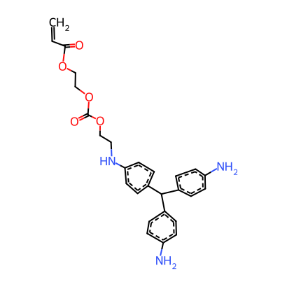 C=CC(=O)OCCOC(=O)OCCNc1ccc(C(c2ccc(N)cc2)c2ccc(N)cc2)cc1